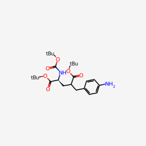 CC(C)(C)OC(=O)N[C@@H](CC(Cc1ccc(N)cc1)C(=O)OC(C)(C)C)C(=O)OC(C)(C)C